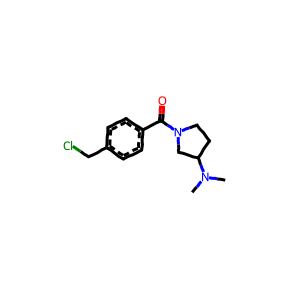 CN(C)C1CCN(C(=O)c2ccc(CCl)cc2)C1